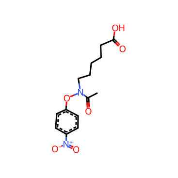 CC(=O)N(CCCCCC(=O)O)Oc1ccc([N+](=O)[O-])cc1